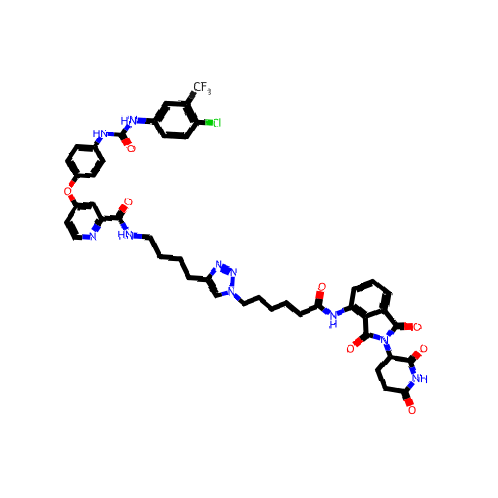 O=C1CCC(N2C(=O)c3cccc(NC(=O)CCCCCn4cc(CCCCNC(=O)c5cc(Oc6ccc(NC(=O)Nc7ccc(Cl)c(C(F)(F)F)c7)cc6)ccn5)nn4)c3C2=O)C(=O)N1